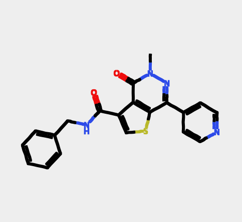 Cn1nc(-c2ccncc2)c2scc(C(=O)NCc3ccccc3)c2c1=O